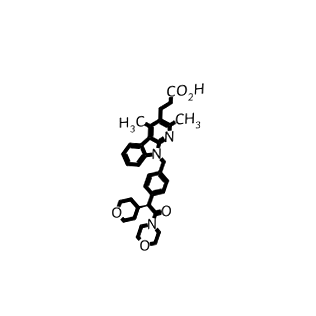 Cc1nc2c(c(C)c1CCC(=O)O)c1ccccc1n2Cc1ccc([C@@H](C(=O)N2CCOCC2)C2CCOCC2)cc1